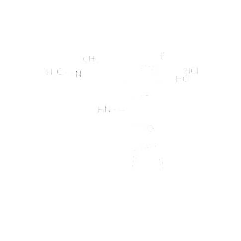 CN(C)CCNC(c1ccc(F)cc1)c1cc2ccccc2o1.Cl.Cl